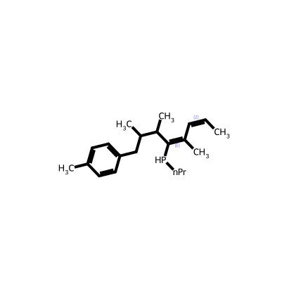 C/C=C\C(C)=C(\PCCC)C(C)C(C)Cc1ccc(C)cc1